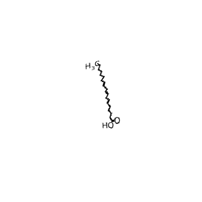 CCCCCCCC=CCC=CCC=CCCCCC(=O)O